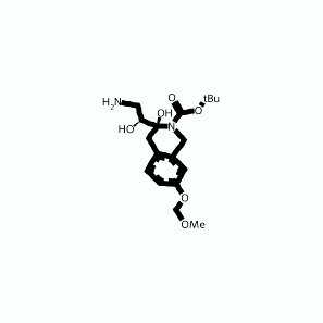 COCOc1ccc2c(c1)CN(C(=O)OC(C)(C)C)[C@@](O)([C@H](O)CN)C2